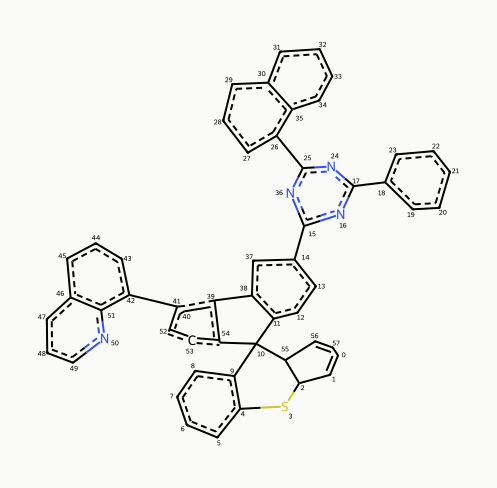 C1=CC2Sc3ccccc3C3(c4ccc(-c5nc(-c6ccccc6)nc(-c6cccc7ccccc67)n5)cc4-c4cc(-c5cccc6cccnc56)ccc43)C2C=C1